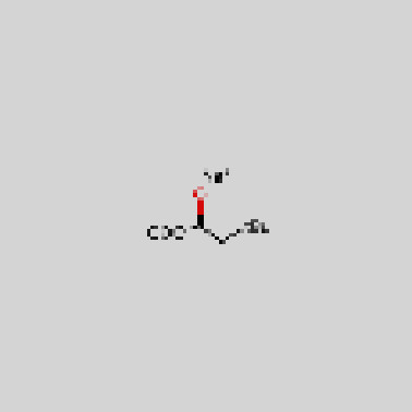 CC(C)(C)CC(=O)C(=O)[O-].[Na+]